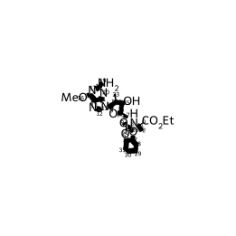 CCOC(=O)[C@H](C)NP(=O)(OC[C@H]1O[C@@H](n2cnc3c(OC)nc(N)nc32)[C@@H](C)[C@@H]1O)Oc1ccccc1